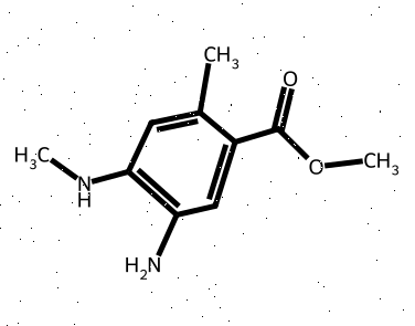 CNc1cc(C)c(C(=O)OC)cc1N